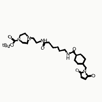 CC(C)(C)OC(=O)N1CCN(CCNC(=O)CCCCCNC(=O)C2CCC(CN3C(=O)C=CC3=O)CC2)CC1